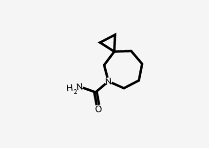 NC(=O)N1CCCCC2(CC2)C1